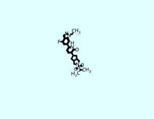 CCn1ncc2c(F)cc(-c3ccc(C4CC5CN(S(=O)(=O)C(C)C)CC5C4)c(=O)[nH]3)cc21